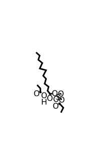 CCC(=O)O.CCCCCCCCCCCC(=O)OS(=O)(=O)OC(=O)CC